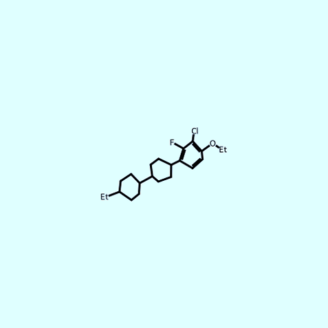 CCOc1ccc(C2CCC(C3CCC(CC)CC3)CC2)c(F)c1Cl